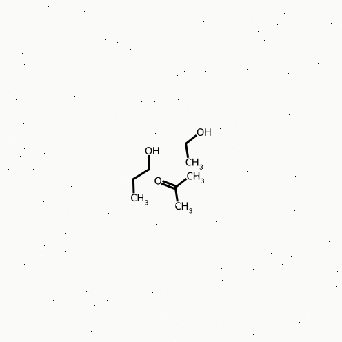 CC(C)=O.CCCO.CCO